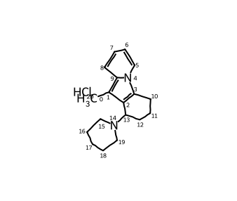 Cc1c2c(n3ccccc13)CCCC2N1CCCCC1.Cl